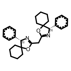 c1ccc([C@@H]2N=C(CC3=N[C@@H](c4ccccc4)C4(CCCCC4)O3)OC23CCCCC3)cc1